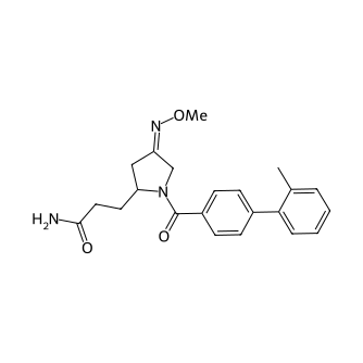 CON=C1CC(CCC(N)=O)N(C(=O)c2ccc(-c3ccccc3C)cc2)C1